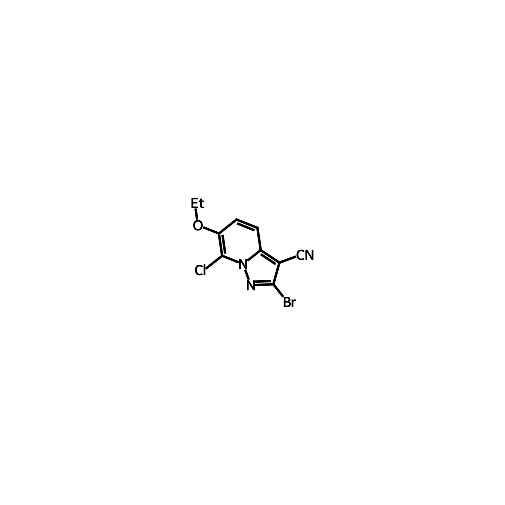 CCOc1ccc2c(C#N)c(Br)nn2c1Cl